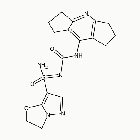 NS(=O)(=NC(=O)Nc1c2c(nc3c1CCC3)CCC2)c1cnn2c1OCC2